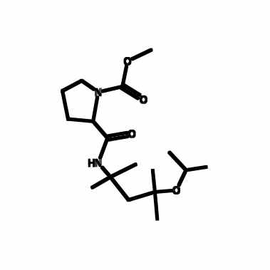 COC(=O)N1CCCC1C(=O)NC(C)(C)CC(C)(C)OC(C)C